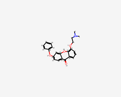 CN(C)CCOc1cccc2c(=O)c3ccc(Oc4ccccc4)cc3oc12